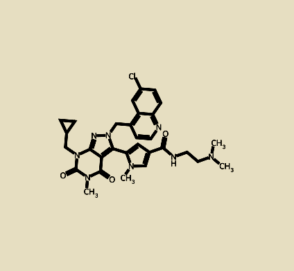 CN(C)CCNC(=O)c1cc(-c2c3c(=O)n(C)c(=O)n(CC4CC4)c3nn2Cc2ccnc3ccc(Cl)cc23)n(C)c1